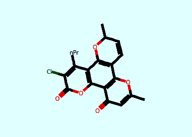 CCCc1c(Cl)c(=O)oc2c1c1c(c3oc(C)cc(=O)c32)[C]=CC(C)O1